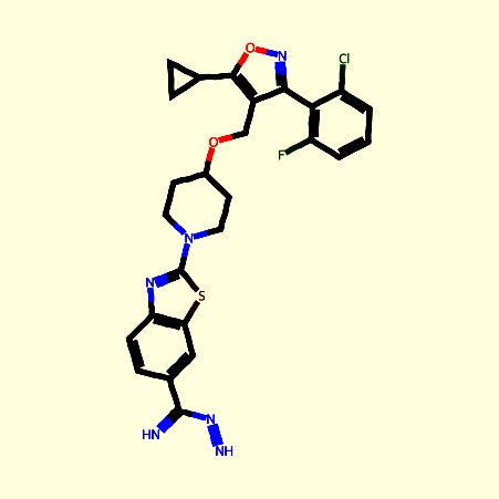 N=NC(=N)c1ccc2nc(N3CCC(OCc4c(-c5c(F)cccc5Cl)noc4C4CC4)CC3)sc2c1